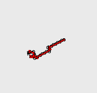 C=N/C(=C\C(=C/C)C(=O)NCc1cccc(C(F)(F)F)c1)c1cc(N(CC)CC)ccc1NC(=O)c1cccc(CCCOCCOCCOCCOCCC(=O)N2CCCC(C(=O)N(C)CCOCCOCCOCCOCCOCCOCCOC)C2)c1